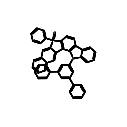 O=P1(c2ccccc2)c2cc3ccccc3cc2-c2c1ccc1c3ccccc3n(-c3cc(-c4ccccc4)cc(-c4ccccc4)c3)c21